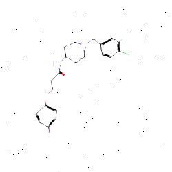 O=C(CCOc1ccc(I)cc1)NC1CCN(Cc2ccc(Cl)c(Cl)c2)CC1